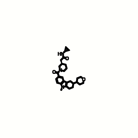 Cn1c2c(c3cc(C(=O)N4CCC[C@H](CC(=O)NC5CC5)C4)ccc31)CC(C1CCOCC1)CC2